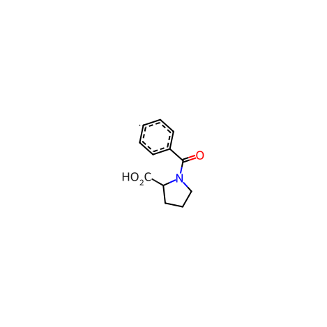 O=C(O)C1CCCN1C(=O)c1cc[c]cc1